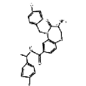 CC(NC(=O)c1ccc2c(c1)N(Cc1ccc(Cl)cc1)C(=O)[C@@H](N)CS2)c1ccc(F)cc1